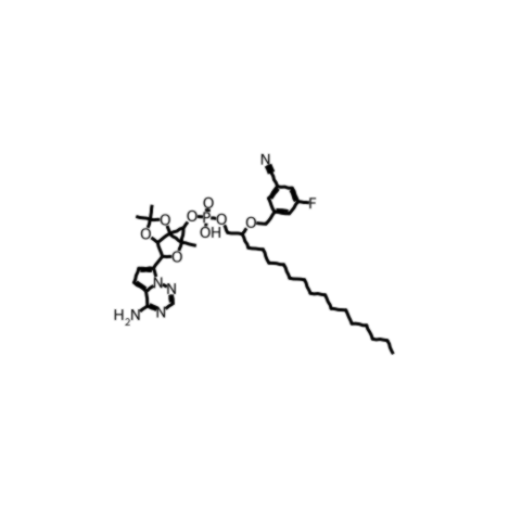 CCCCCCCCCCCCCCCC(COP(=O)(O)OC1C2(C)OC(c3ccc4c(N)ncnn34)C3OC(C)(C)OC312)OCc1cc(F)cc(C#N)c1